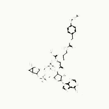 CC(C)(C)OC(=O)N[C@@H](CCCNC(=O)OCc1ccc(N=[N+]=[N-])cc1)C(=O)OC1[C@@H](O)[C@H](n2cnc3c(N)ncnc32)O[C@@H]1COP(=O)(O)O[C@H]1C2C[C@@H]2O[C@@H]1COP(=O)(O)O